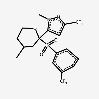 CC1CCOC(c2cc(C(F)(F)F)nn2C)(S(=O)(=O)c2cccc(C(F)(F)F)c2)C1